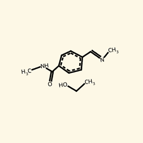 CCO.CN=Cc1ccc(C(=O)NC)cc1